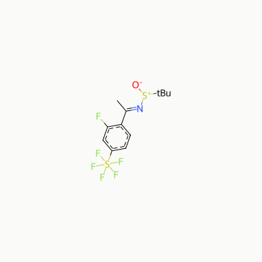 C/C(=N\[S+]([O-])C(C)(C)C)c1ccc(S(F)(F)(F)(F)F)cc1F